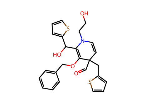 O=CC1(Cc2cccs2)C=CN(CCO)C(C(O)c2cccs2)=C1OCc1ccccc1